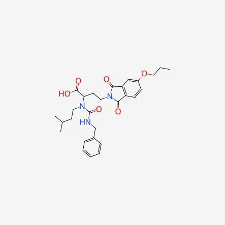 CCCOc1ccc2c(c1)C(=O)N(CCC(C(=O)O)N(CCC(C)C)C(=O)NCc1ccccc1)C2=O